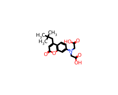 CC(C)(C)Cc1cc(=O)oc2cc(N(CC(=O)O)CC(=O)O)ccc12